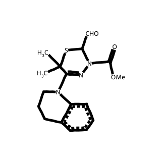 COC(=O)N1N=C(N2CCCc3ccccc32)C(C)(C)SC1C=O